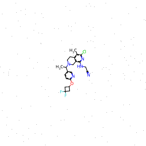 Cc1c(Cl)nc(NCC#N)c2c1CCN(C(C)c1ccc(OC3CC(F)(F)C3)nc1)C2